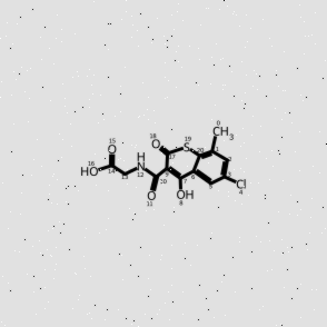 Cc1cc(Cl)cc2c(O)c(C(=O)NCC(=O)O)c(=O)sc12